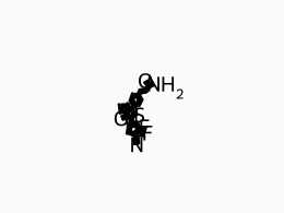 N#Cc1ccc(N2C(=O)C3(CCC3)N(c3ccc(C=CC(N)=O)cc3)C2=S)cc1C(F)(F)F